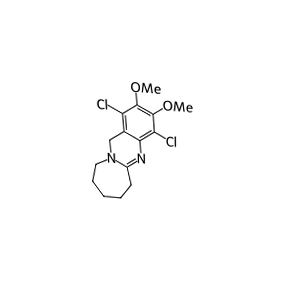 COc1c(Cl)c2c(c(Cl)c1OC)N=C1CCCCCN1C2